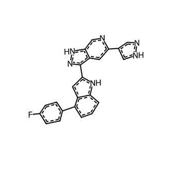 Fc1ccc(-c2cccc3[nH]c(-c4n[nH]c5cnc(-c6cn[nH]c6)cc45)cc23)cc1